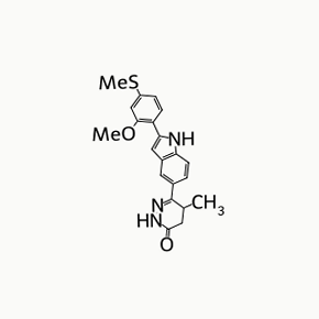 COc1cc(SC)ccc1-c1cc2cc(C3=NNC(=O)CC3C)ccc2[nH]1